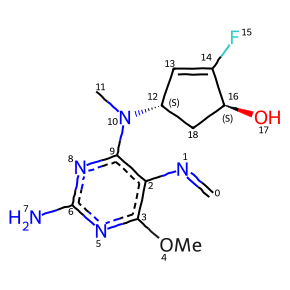 C=Nc1c(OC)nc(N)nc1N(C)[C@@H]1C=C(F)[C@@H](O)C1